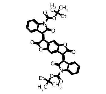 CCC(C)(C)OC(=O)N1C(=O)/C(=C2/C(=O)Oc3cc4c(cc32)OC(=O)/C4=C2/C(=O)N(C(=O)OC(C)(C)CC)c3ccccc32)c2ccccc21